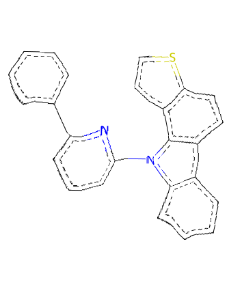 c1ccc(-c2cccc(-n3c4ccccc4c4ccc5sccc5c43)n2)cc1